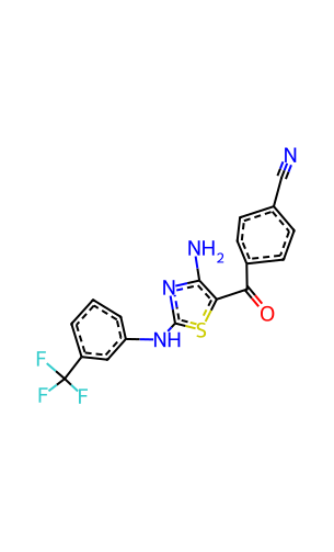 N#Cc1ccc(C(=O)c2sc(Nc3cccc(C(F)(F)F)c3)nc2N)cc1